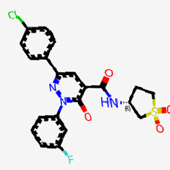 O=C(N[C@@H]1CCS(=O)(=O)C1)c1cc(-c2ccc(Cl)cc2)nn(-c2cccc(F)c2)c1=O